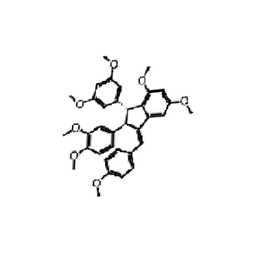 COc1ccc(/C=C2/c3cc(OC)cc(OC)c3[C@@H](c3cc(OC)cc(OC)c3)[C@@H]2c2ccc(OC)c(OC)c2)cc1